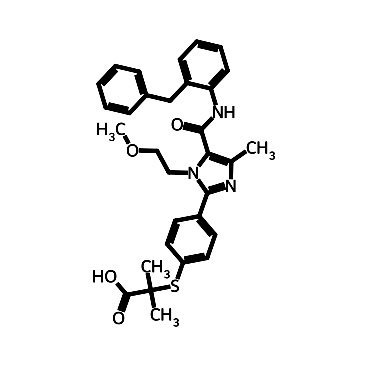 COCCn1c(-c2ccc(SC(C)(C)C(=O)O)cc2)nc(C)c1C(=O)Nc1ccccc1Cc1ccccc1